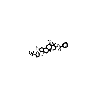 CO[C@H]1C[C@@]2(C)C3C[C@H](OC)[C@H]4C(C)(C)[C@@H](OC(=O)c5ccccc5)CC[C@@]45CC35CC[C@]2(C)[C@H]1[C@@]1(C)CC[C@@H](C(C)(C)OC)O1